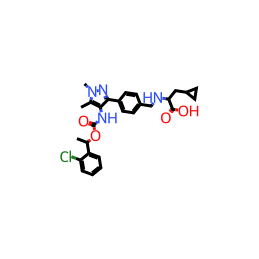 Cc1c(NC(=O)OC(C)c2ccccc2Cl)c(-c2ccc(CNC(CC3CC3)C(=O)O)cc2)nn1C